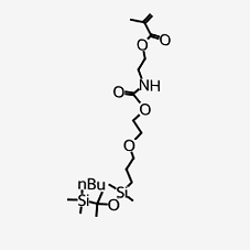 C=C(C)C(=O)OCCNC(=O)OCCOCCC[Si](C)(C)OC(C)(C)[Si](C)(C)CCCC